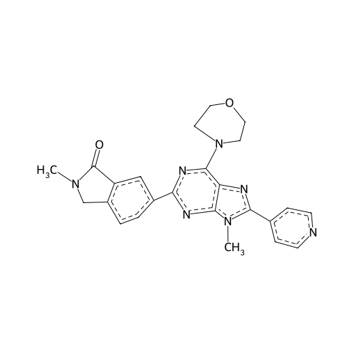 CN1Cc2ccc(-c3nc(N4CCOCC4)c4nc(-c5ccncc5)n(C)c4n3)cc2C1=O